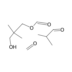 C=O.CC(C)(CO)COC=O.CC(C)C=O